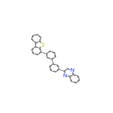 c1cc(-c2cccc(-c3cccc4c3sc3ccccc34)c2)cc(-c2cnc3ccccc3n2)c1